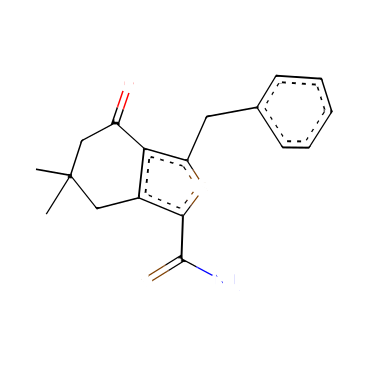 CC1(C)CC(=O)c2c(Cc3ccccc3)sc(C(N)=S)c2C1